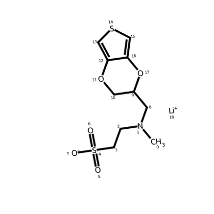 CN(CCS(=O)(=O)[O-])CC1COc2cscc2O1.[Li+]